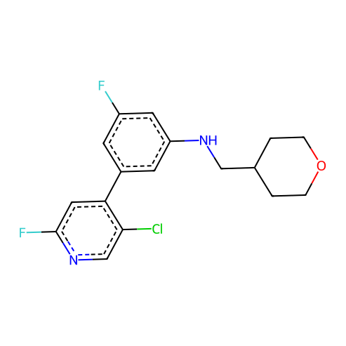 Fc1cc(NCC2CCOCC2)cc(-c2cc(F)ncc2Cl)c1